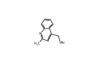 Cc1cc(CC(C)(C)C)c2ccccc2n1